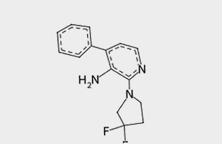 Nc1c(-c2ccccc2)ccnc1N1CCC(F)(F)C1